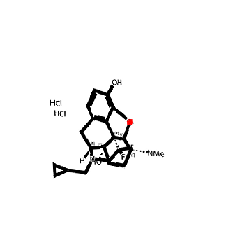 CN[C@@H]1CC[C@@]2(O)[C@H]3Cc4ccc(O)c5c4[C@]2([C@H]1O5)C(F)(F)CN3CC1CC1.Cl.Cl